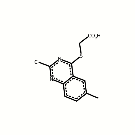 Cc1ccc2nc(Cl)nc(SCC(=O)O)c2c1